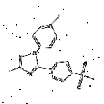 Cc1nc(-c2ccc(S(C)(=O)=O)cc2)n(-c2ccc(F)cc2)n1